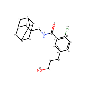 O=C(NCC12CC3CC(CC(C3)C1)C2)c1cc(CCCO)ccc1Cl